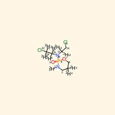 [2H]N1CC([2H])([2H])COP1(=O)N(C([2H])([2H])CCl)C([2H])([2H])C([2H])([2H])Cl